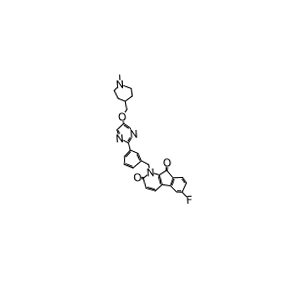 CN1CCC(COc2cnc(-c3cccc(Cn4c5c(ccc4=O)-c4cc(F)ccc4C5=O)c3)nc2)CC1